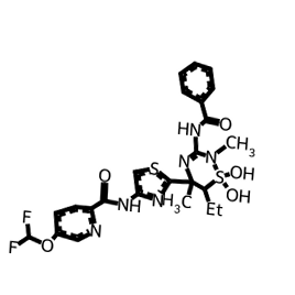 CCC1C(C)(c2nc(NC(=O)c3ccc(OC(F)F)cn3)cs2)N=C(NC(=O)c2ccccc2)N(C)S1(O)O